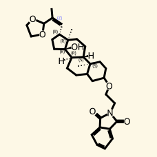 C/C(=C/[C@H]1CC[C@@]2(O)[C@@H]3CCC4CC(OCCN5C(=O)c6ccccc6C5=O)CC[C@]4(C)[C@H]3CC[C@]12C)C1OCCO1